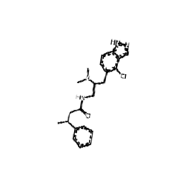 CC(CC(=O)NCC(Cc1ccc2[nH]ncc2c1Cl)N(C)C)c1ccccc1